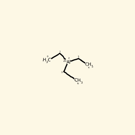 C[CH2][21Al]([CH2]C)[CH2]C